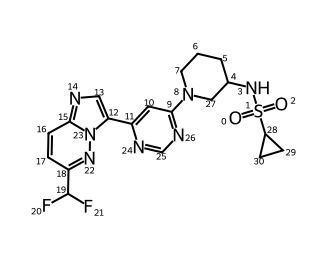 O=S(=O)(NC1CCCN(c2cc(-c3cnc4ccc(C(F)F)nn34)ncn2)C1)C1CC1